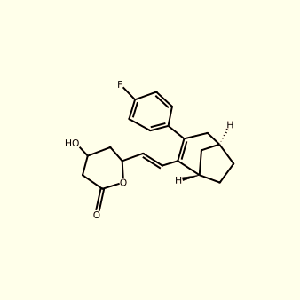 O=C1CC(O)CC(/C=C/C2=C(c3ccc(F)cc3)C[C@H]3CC[C@H]2C3)O1